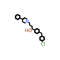 OC(CCCN1CC=C(c2ccccc2)CC1)c1ccc(Cc2ccc(Cl)cc2)cc1